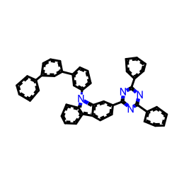 c1ccc(-c2cccc(-c3cccc(-n4c5ccccc5c5ccc(-c6nc(-c7ccccc7)nc(-c7ccccc7)n6)cc54)c3)c2)cc1